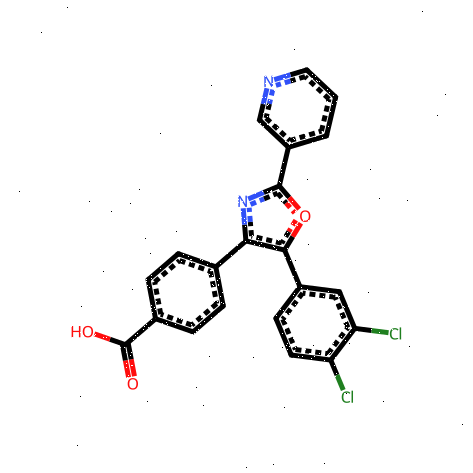 O=C(O)c1ccc(-c2nc(-c3cccnc3)oc2-c2ccc(Cl)c(Cl)c2)cc1